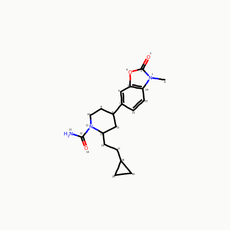 Cn1c(=O)oc2cc(C3CCN(C(N)=O)C(CCC4CC4)C3)ccc21